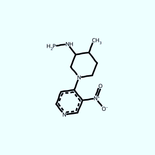 CC1CCN(c2ccncc2[N+](=O)[O-])CC1NP